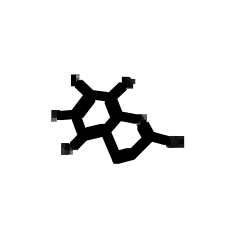 Oc1ccc2c(Br)c(F)c(F)c(Br)c2n1